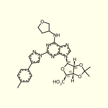 Cc1ccc(-c2cnn(-c3nc(NC4CCOC4)c4ncn([C@@H]5O[C@H](C(=O)O)[C@H]6OC(C)(C)O[C@H]65)c4n3)c2)cc1